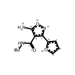 CCC(C)NC(=O)c1c(-c2ccco2)noc1N